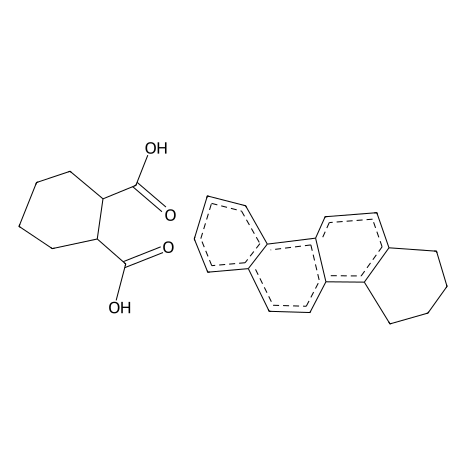 O=C(O)C1CCCCC1C(=O)O.c1ccc2c(c1)ccc1c3c(ccc12)CCCC3